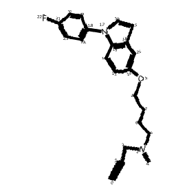 C#CCN(C)CCCCOc1ccc2c(ccn2-c2ccc(F)cc2)c1